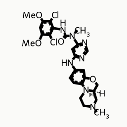 COc1cc(OC)c(Cl)c(NC(=O)N(C)c2cc(Nc3ccc4c(c3)OC[C@H]3CN(C)CCN43)ncn2)c1Cl